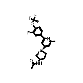 CC(=O)NC1CCN(c2cc(C)nc(-c3ccc(OC(F)(F)F)c(F)c3)c2)CC1